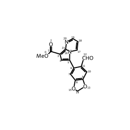 COC(=O)c1cc(-c2cc3c(cc2C=O)OCO3)n2cccnc12